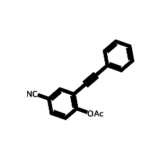 CC(=O)Oc1ccc(C#N)cc1C#Cc1ccccc1